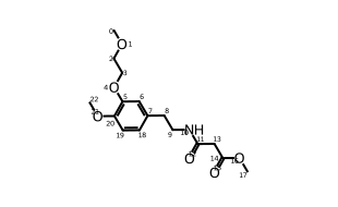 COCCOc1cc(CCNC(=O)CC(=O)OC)ccc1OC